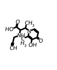 C#CCNC(C(=O)O)C(C)n1ccc(=O)c(O)c1C